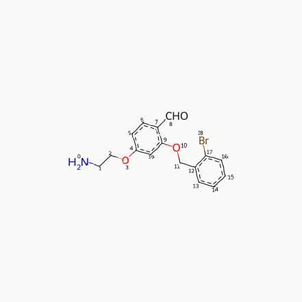 NCCOc1ccc(C=O)c(OCc2ccccc2Br)c1